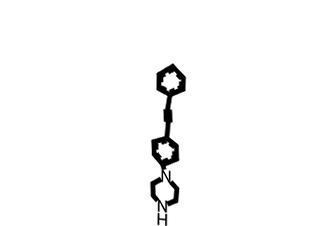 C(#Cc1ccc(N2CCNCC2)cc1)c1ccccc1